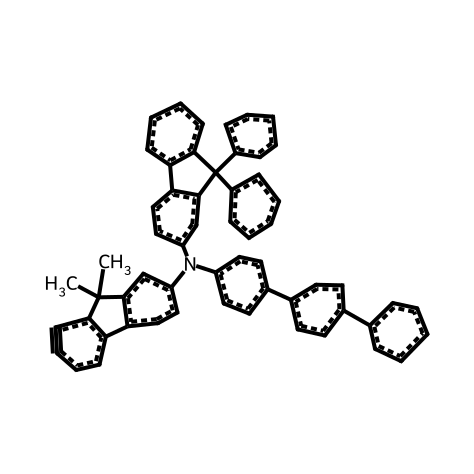 CC1(C)c2c#cccc2-c2ccc(N(c3ccc(-c4ccc(-c5ccccc5)cc4)cc3)c3ccc4c(c3)C(c3ccccc3)(c3ccccc3)c3ccccc3-4)cc21